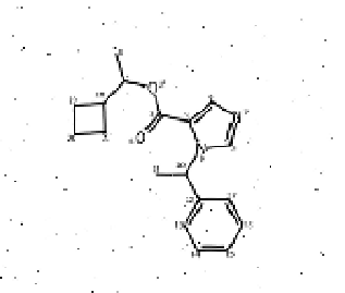 CC(OC(=O)c1cncn1C(C)c1ccccc1)C1CCC1